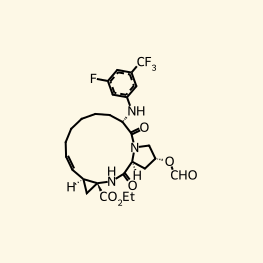 CCOC(=O)[C@@]12C[C@H]1/C=C\CCCCC[C@H](Nc1cc(F)cc(C(F)(F)F)c1)C(=O)N1C[C@H](OC=O)C[C@H]1C(=O)N2